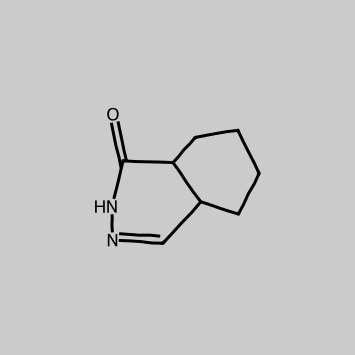 O=C1NN=CC2CCCCC12